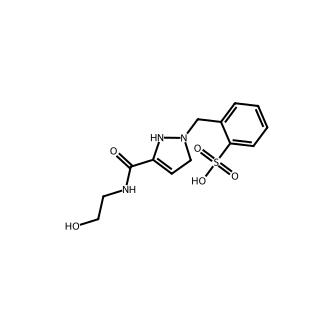 O=C(NCCO)C1=CCN(Cc2ccccc2S(=O)(=O)O)N1